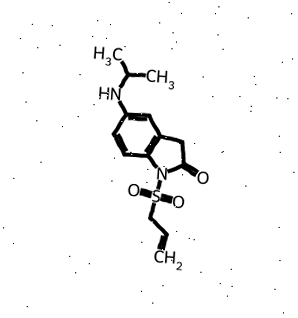 C=CCS(=O)(=O)N1C(=O)Cc2cc(NC(C)C)ccc21